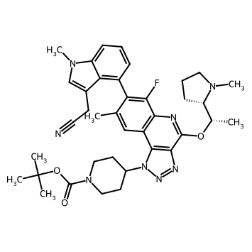 Cc1cc2c(nc(O[C@@H](C)[C@@H]3CCCN3C)c3nnn(C4CCN(C(=O)OC(C)(C)C)CC4)c32)c(F)c1-c1cccc2c1c(CC#N)cn2C